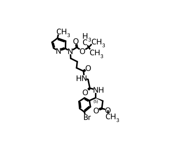 COC(=O)C[C@H](NC(=O)CNC(=O)CCCN(C(=O)OC(C)(C)C)c1cc(C)ccn1)c1cccc(Br)c1